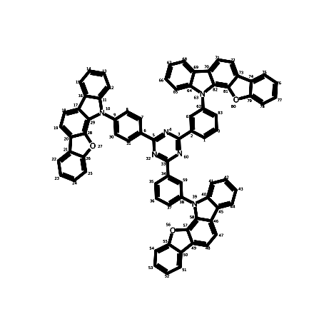 c1cc(-c2nc(-c3ccc(-n4c5ccccc5c5ccc6c7ccccc7oc6c54)cc3)nc(-c3cccc(-n4c5ccccc5c5ccc6c7ccccc7oc6c54)c3)n2)cc(-n2c3ccccc3c3ccc4c5ccccc5oc4c32)c1